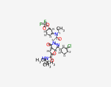 CCN(C(=O)Cn1nc(-c2cccc(Cl)c2)c2oc(C(=O)NC(C)(C)C)cc2c1=O)c1ccc2c(c1)OC(F)(F)O2